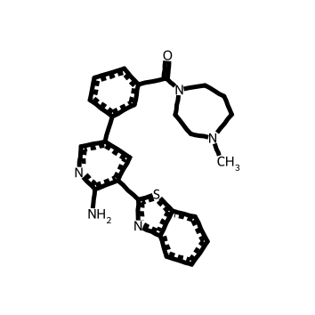 CN1CCCN(C(=O)c2cccc(-c3cnc(N)c(-c4nc5ccccc5s4)c3)c2)CC1